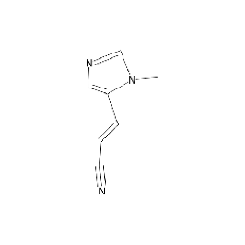 Cn1cncc1C=CC#N